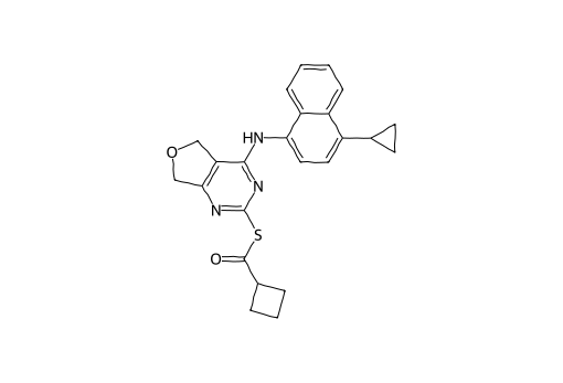 O=C(Sc1nc2c(c(Nc3ccc(C4CC4)c4ccccc34)n1)COC2)C1CCC1